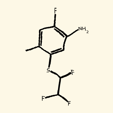 Cc1cc(F)c(N)cc1SC(F)C(F)F